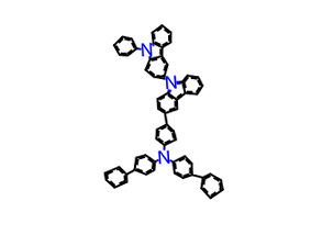 c1ccc(-c2ccc(N(c3ccc(-c4ccccc4)cc3)c3ccc(-c4ccc5c(c4)c4ccccc4n5-c4ccc5c(c4)c4ccccc4n5-c4ccccc4)cc3)cc2)cc1